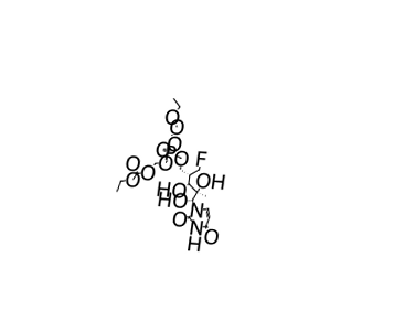 CCOOCOP(=O)(OCOC(=O)OCC)OC[C@H](CF)[C@@H](O)[C@@](C)(O)[C@@H](O)n1ccc(=O)[nH]c1=O